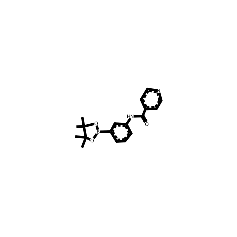 CC1(C)OB(c2cccc(NC(=O)c3ccncc3)c2)OC1(C)C